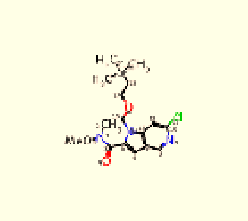 CON(C)C(=O)c1cc2cnc(Cl)cc2n1COCC[Si](C)(C)C